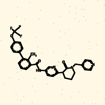 Cc1c(C(=O)Nc2ccc(C3CCCN(Cc4ccncc4)C3=O)nc2)cccc1-c1ccc(OC(F)(F)F)cc1